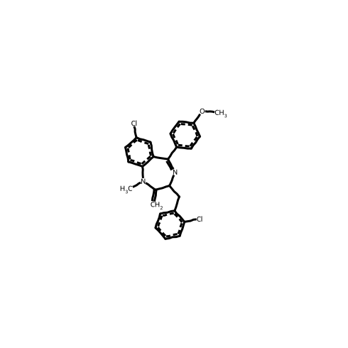 C=C1C(Cc2ccccc2Cl)N=C(c2ccc(OC)cc2)c2cc(Cl)ccc2N1C